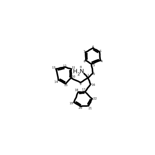 NC(Cc1ccccc1)(Cc1ccccc1)Cc1ccccc1